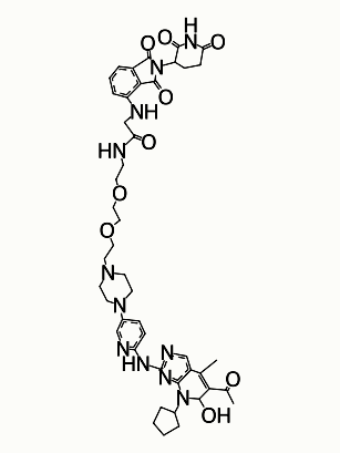 CC(=O)C1=C(C)c2cnc(Nc3ccc(N4CCN(CCOCCOCCNC(=O)CNc5cccc6c5C(=O)N(C5CCC(=O)NC5=O)C6=O)CC4)cn3)nc2N(C2CCCC2)C1O